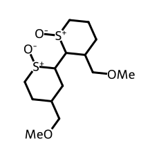 COCC1CC[S+]([O-])C(C2C(COC)CCC[S+]2[O-])C1